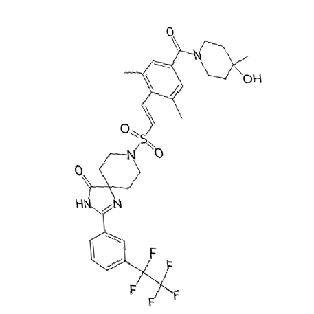 Cc1cc(C(=O)N2CCC(C)(O)CC2)cc(C)c1C=CS(=O)(=O)N1CCC2(CC1)N=C(c1cccc(C(F)(F)C(F)(F)F)c1)NC2=O